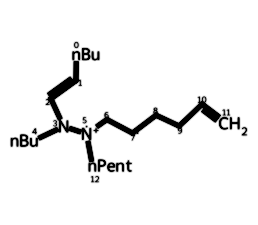 [CH2]CCCC=CN(CCCC)[N+](C[CH]CCC=C)CCCCC